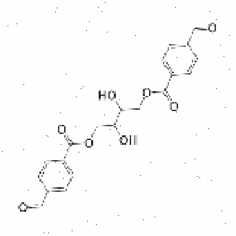 O=Cc1ccc(C(=O)OCC(O)C(O)COC(=O)c2ccc(C=O)cc2)cc1